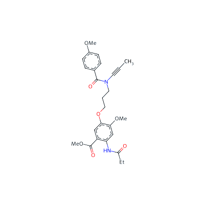 CC#CN(CCCOc1cc(C(=O)OC)c(NC(=O)CC)cc1OC)C(=O)c1ccc(OC)cc1